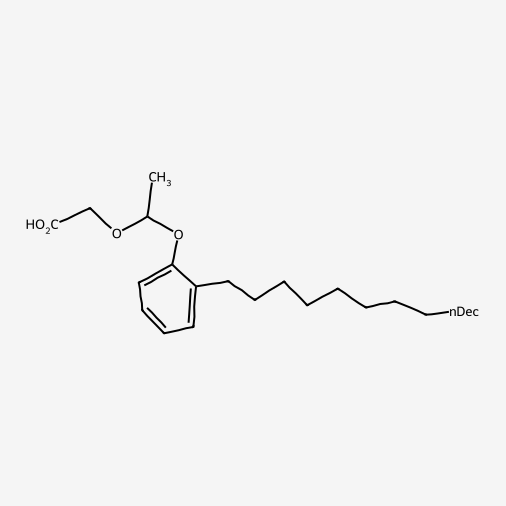 CCCCCCCCCCCCCCCCCCc1ccccc1OC(C)OCC(=O)O